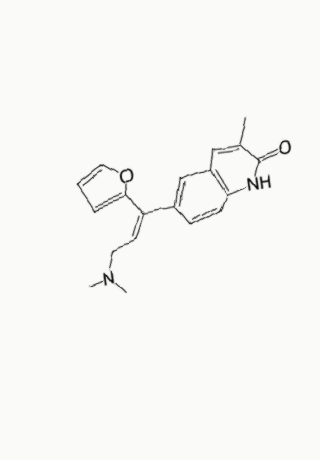 Cc1cc2cc(/C(=C/CN(C)C)c3ccco3)ccc2[nH]c1=O